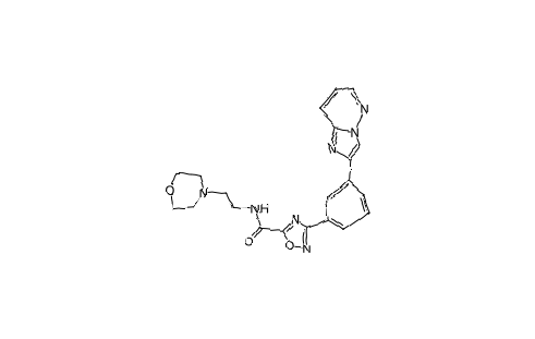 O=C(NCCN1CCOCC1)c1nc(-c2cccc(-c3cn4ncccc4n3)c2)no1